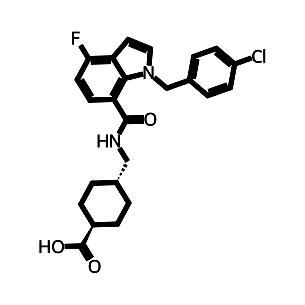 O=C(NC[C@H]1CC[C@H](C(=O)O)CC1)c1ccc(F)c2ccn(Cc3ccc(Cl)cc3)c12